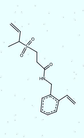 C=Cc1ccccc1CNC(=O)CCS(=O)(=O)C(C)C=C